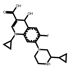 O=C(O)C1=CN(C2CC2)c2cc(N3CCNC(C4CC4)C3)c(F)cc2C1O